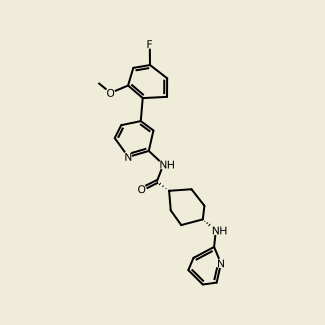 COc1cc(F)ccc1-c1ccnc(NC(=O)[C@H]2CC[C@@H](Nc3ccccn3)CC2)c1